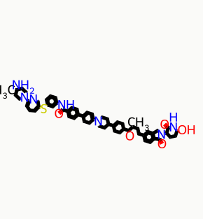 CC(CCc1ccc2c(c1)CN(C1CCC(O)NC1=O)C2=O)C(=O)C1CC=C(C2CCN(C3=CC=C(c4ccc(C(=O)Nc5cccc(SC6=CCC=C(N7CCC(C)(N)CC7)N=C6)c5)cc4)CC3)CC2)CC1